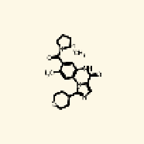 Cc1cc2c(cc1C(=O)N1CCC[C@@H]1C)[nH]c(=O)c1cnc(C3CCOCC3)n12